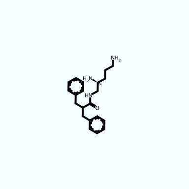 NCCC[C@H](N)CNC(=O)C(Cc1ccccc1)Cc1ccccc1